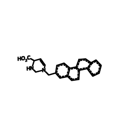 O=C(O)C1C=CN(Cc2ccc3c(ccc4c5ccccc5ccc34)c2)CN1